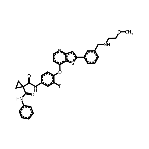 COCCNCc1cccc(-c2cc3nccc(Oc4ccc(NC(=O)C5(C(=O)Nc6ccccc6)CC5)cc4F)c3s2)c1